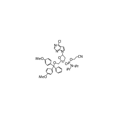 COc1ccc(C(OCC2OC(n3ccc4c(Cl)ncnc43)C[C@@H]2OP(OCCC#N)N(C(C)C)C(C)C)(c2ccccc2)c2ccc(OC)cc2)cc1